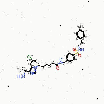 C=C(N)c1ncn(CCCCCC(=O)NCc2ccc(S(=O)(=O)NCCc3ccc(C)cc3)cc2)c1/C=C(\C)Cl